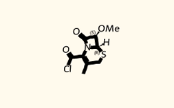 CO[C@H]1C(=O)N2C(C(=O)Cl)=C(C)CS[C@H]12